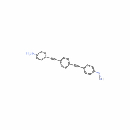 N=Nc1ccc(C#Cc2ccc(C#Cc3ccc(N)cc3)cc2)cc1